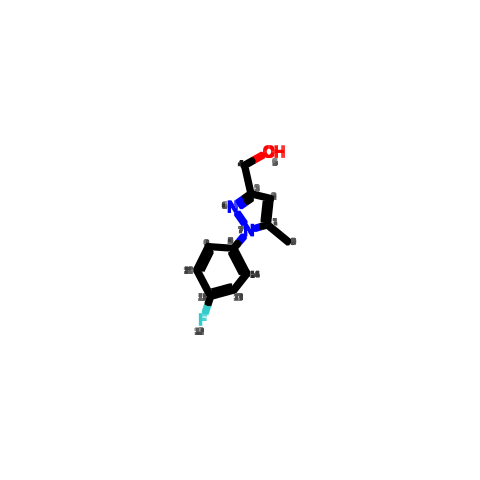 Cc1cc(CO)nn1-c1ccc(F)cc1